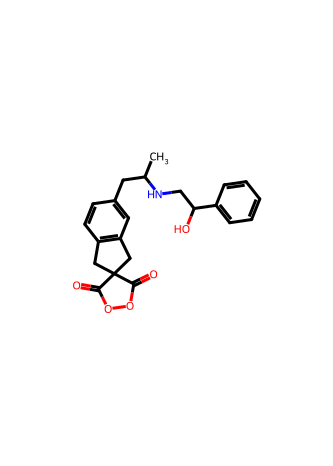 CC(Cc1ccc2c(c1)CC1(C2)C(=O)OOC1=O)NCC(O)c1ccccc1